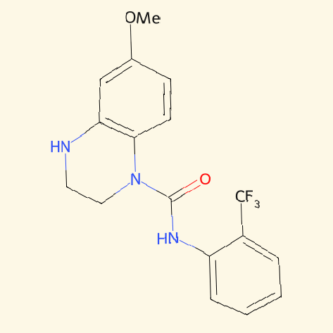 COc1ccc2c(c1)NCCN2C(=O)Nc1ccccc1C(F)(F)F